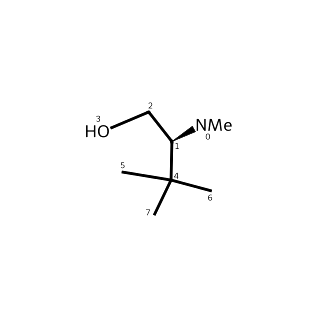 CN[C@H](CO)C(C)(C)C